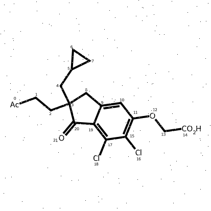 CC(=O)CCC1(CC2CC2)Cc2cc(OCC(=O)O)c(Cl)c(Cl)c2C1=O